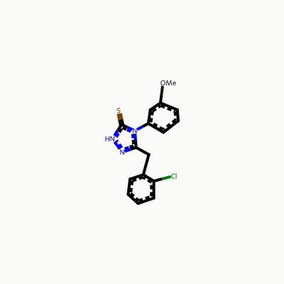 COc1cccc(-n2c(Cc3ccccc3Cl)n[nH]c2=S)c1